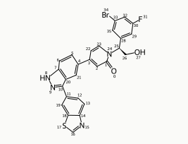 O=c1cc(-c2ccc3[nH]nc(-c4ccc5ncsc5c4)c3c2)ccn1[C@H](CO)c1cc(F)cc(Br)c1